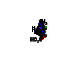 Cc1c(N2CCN(C)CC2C)c(F)cn2c(=O)c(OC(=O)O)cc(C3CC3)c12